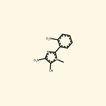 Cn1c(-c2ccccc2[N+](=O)[O-])nc([N+](=O)[O-])c1C#N